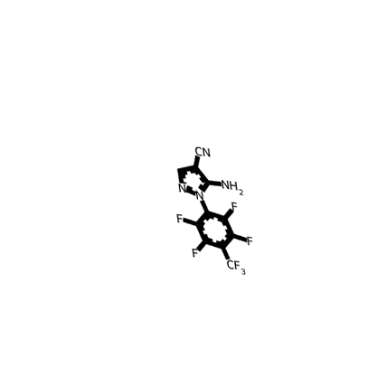 N#Cc1cnn(-c2c(F)c(F)c(C(F)(F)F)c(F)c2F)c1N